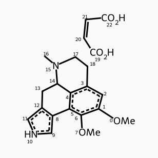 COc1cc2c3c(c1OC)-c1c[nH]cc1CC3N(C)CC2.O=C(O)/C=C\C(=O)O